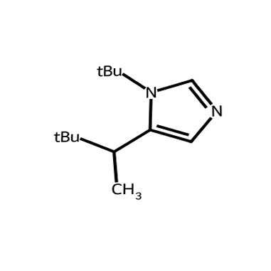 CC(c1cncn1C(C)(C)C)C(C)(C)C